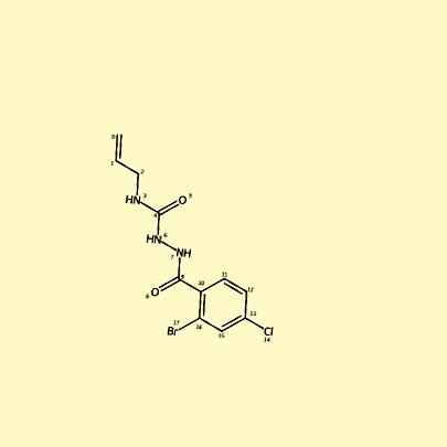 C=CCNC(=O)NNC(=O)c1ccc(Cl)cc1Br